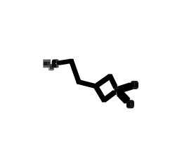 CCCC1CS(=O)(=O)C1